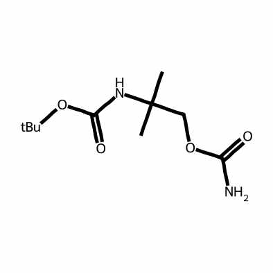 CC(C)(COC(N)=O)NC(=O)OC(C)(C)C